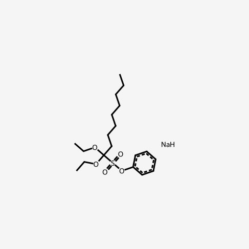 CCCCCCCCC(OCC)(OCC)S(=O)(=O)Oc1ccccc1.[NaH]